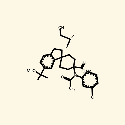 COC(=O)C1(N(C(=O)C(F)(F)F)c2cccc(Cl)c2)CCC2(CC1)c1cc(C(C)(C)OC)ccc1C[C@@H]2C[C@@H](C)CO